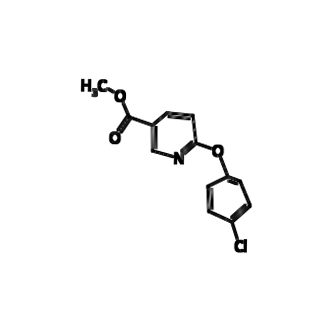 COC(=O)c1ccc(Oc2ccc(Cl)cc2)nc1